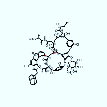 CCCCCCNC(=O)NC(=O)C[C@@H]1CC(=O)[C@H](NC(=O)[C@H](CC)CC(C)C)[C@H](O)c2ccc(c(Cl)c2)Oc2cc3cc(c2O[C@@H]2O[C@H](CN)[C@@H](O)[C@H](O)[C@H]2O)Oc2ccc(cc2Cl)[C@@H](O)[C@@H]2NC(=O)[C@H](CC(=O)[C@@H]3NC1=O)c1ccc(O)c(c1)-c1c(O)cc(O)cc1[C@@H](C(=O)CC1C3CC4CC(C3)CC1C4)NC2=O